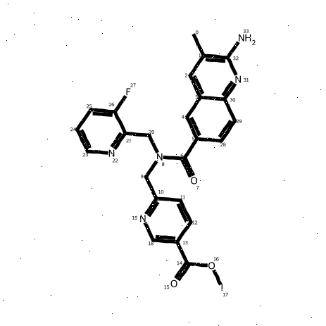 Cc1cc2cc(C(=O)N(Cc3ccc(C(=O)OI)cn3)Cc3ncccc3F)ccc2nc1N